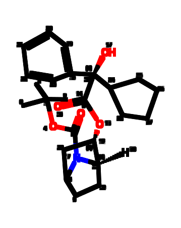 CC(C)(C)OC(=O)N1C2CC[C@@H]1[C@@H](OC(=O)[C@](O)(c1ccccc1)C1CCCC1)C2